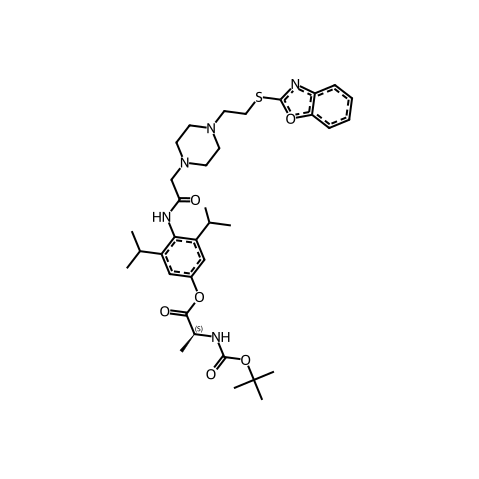 CC(C)c1cc(OC(=O)[C@H](C)NC(=O)OC(C)(C)C)cc(C(C)C)c1NC(=O)CN1CCN(CCSc2nc3ccccc3o2)CC1